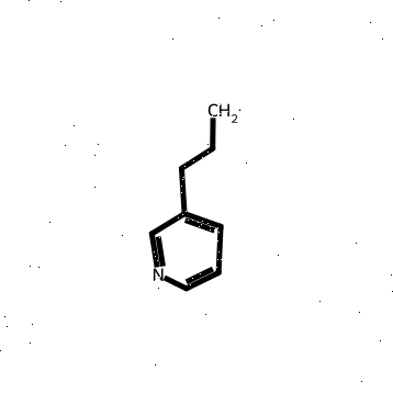 [CH2]CCc1cccnc1